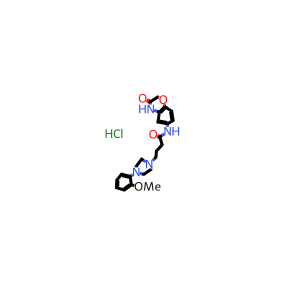 COc1ccccc1N1CCN(CCCC(=O)Nc2ccc3c(c2)NC(=O)CO3)CC1.Cl